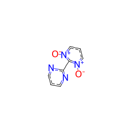 [O-][n+]1ccc[n+]([O-])c1-c1ncccn1